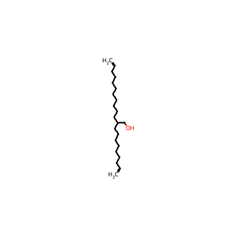 C=CCCCCCCCCCC(CO)CCCCCCCC=C